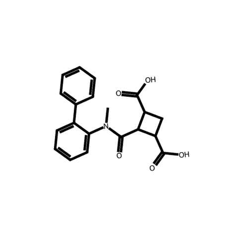 CN(C(=O)C1C(C(=O)O)CC1C(=O)O)c1ccccc1-c1ccccc1